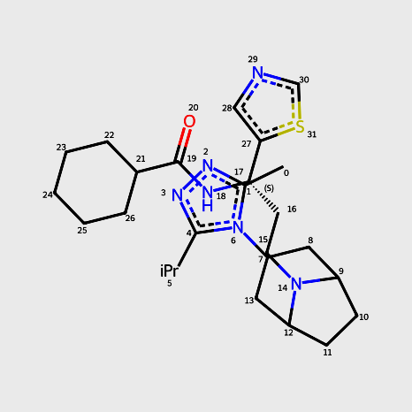 Cc1nnc(C(C)C)n1C1CC2CCC(C1)N2CC[C@H](NC(=O)C1CCCCC1)c1cncs1